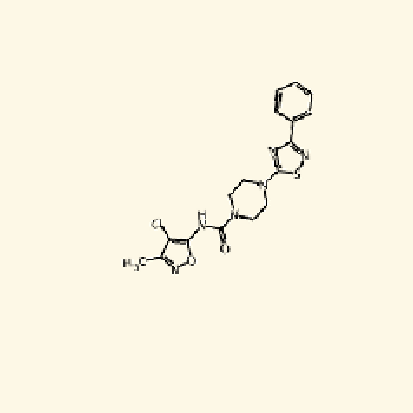 Cc1noc(NC(=O)N2CCN(c3nc(-c4ccccc4)ns3)CC2)c1Cl